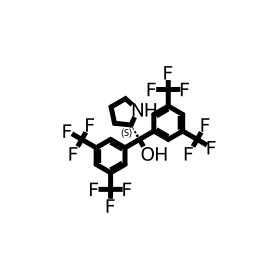 OC(c1cc(C(F)(F)F)cc(C(F)(F)F)c1)(c1cc(C(F)(F)F)cc(C(F)(F)F)c1)[C@@H]1CCCN1